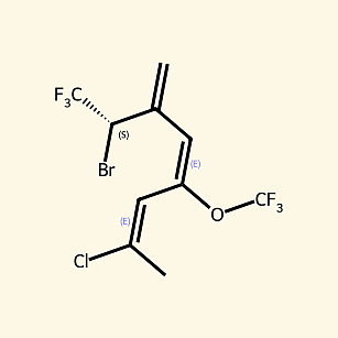 C=C(/C=C(\C=C(/C)Cl)OC(F)(F)F)[C@H](Br)C(F)(F)F